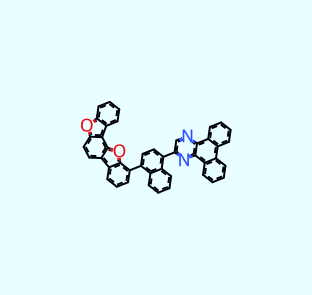 c1ccc2c(c1)oc1ccc3c4cccc(-c5ccc(-c6cnc7c8ccccc8c8ccccc8c7n6)c6ccccc56)c4oc3c12